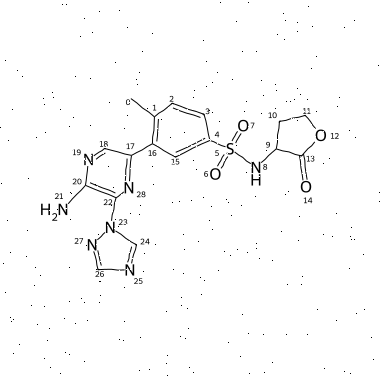 Cc1ccc(S(=O)(=O)NC2CCOC2=O)cc1-c1cnc(N)c(-n2cncn2)n1